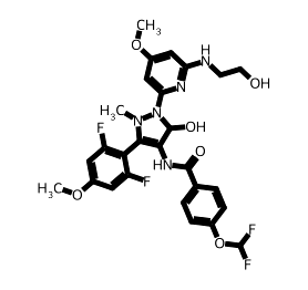 COc1cc(NCCO)nc(N2C(O)C(NC(=O)c3ccc(OC(F)F)cc3)=C(c3c(F)cc(OC)cc3F)N2C)c1